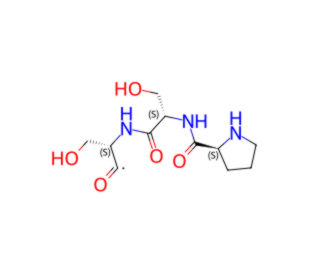 O=[C][C@H](CO)NC(=O)[C@H](CO)NC(=O)[C@@H]1CCCN1